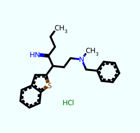 CCCC(=N)C(CCN(C)Cc1ccccc1)c1cc2ccccc2s1.Cl